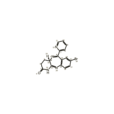 O=C1CC[C@@H]2N=C(c3ccccn3)c3cc(Br)ccc3N=C2N1